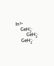 [GeH2-].[GeH2-].[GeH2-].[In+3]